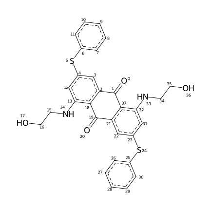 O=C1c2cc(Sc3ccccc3)cc(NCCO)c2C(=O)c2cc(Sc3ccccc3)cc(NCCO)c21